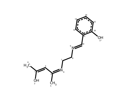 CC(O)=CC(C)=NCCN=Cc1ccccc1O